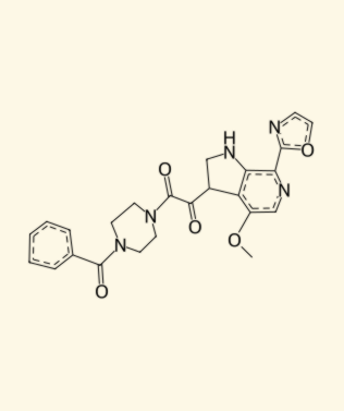 COc1cnc(-c2ncco2)c2c1C(C(=O)C(=O)N1CCN(C(=O)c3ccccc3)CC1)CN2